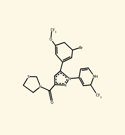 O=C(c1cc(C2=CC(Br)CC(OC(F)(F)F)=C2)n(C2=CC(C(F)(F)F)NC=C2)n1)N1CCSC1